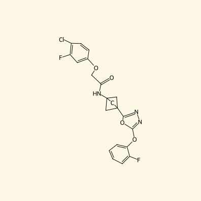 O=C(COc1ccc(Cl)c(F)c1)NC12CC(c3nnc(Oc4ccccc4F)o3)(C1)C2